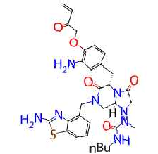 C=CC(=O)COc1ccc(C[C@H]2C(=O)N(Cc3cccc4sc(N)nc34)C[C@H]3N2C(=O)CN3N(C)C(=O)NCCCC)cc1N